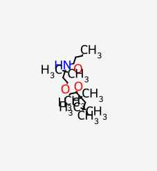 CCCC(=O)NC(C)(C)CCOC(C)C(=O)C(C)(C)CC(C)(C)C